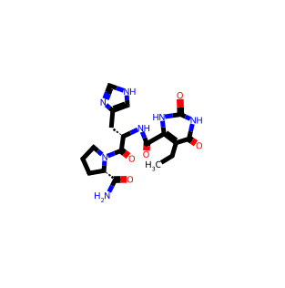 CCc1c(C(=O)N[C@@H](Cc2c[nH]cn2)C(=O)N2CCC[C@H]2C(N)=O)[nH]c(=O)[nH]c1=O